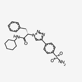 NS(=O)(=O)c1ccc(-c2cn([C@@H](Cc3ccccc3)C(=O)NC3CCCCC3)nn2)cc1